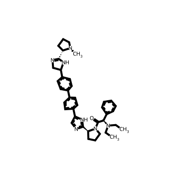 CCN(CC)[C@@H](C(=O)N1CCC[C@H]1c1ncc(-c2ccc(-c3ccc(C4CN=C([C@@H]5CCCN5C)N4)cc3)cc2)[nH]1)c1ccccc1